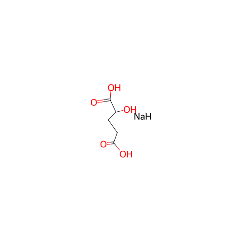 O=C(O)CCC(O)C(=O)O.[NaH]